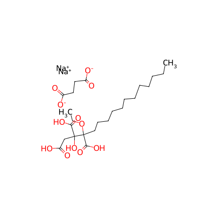 CCCCCCCCCCCCC(OCC)(C(=O)O)C(O)(CC(=O)O)C(=O)O.O=C([O-])CCC(=O)[O-].[Na+].[Na+]